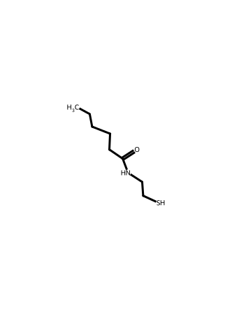 CCCCCC(=O)NCCS